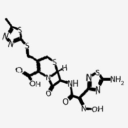 Cc1nnc(SCC2=C(C(=O)O)N3C(=O)C(NC(=O)/C(=N/O)c4nsc(N)n4)[C@H]3SC2)s1